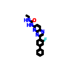 CCNC(=O)Nc1ccc2ncc(-c3ccc(-c4ccccc4)cc3F)nc2n1